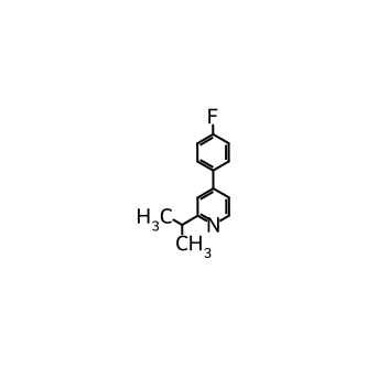 CC(C)c1cc(-c2ccc(F)cc2)ccn1